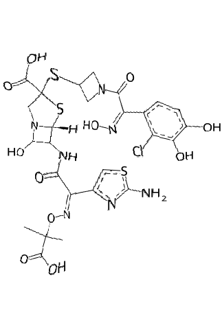 CC(C)(O/N=C(\C(=O)NC1C(O)N2CC(SC3CN(C(=O)/C(=N\O)c4ccc(O)c(O)c4Cl)C3)(C(=O)O)S[C@H]12)c1csc(N)n1)C(=O)O